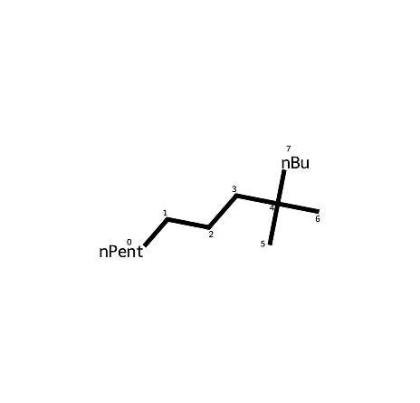 [CH2]CCCCCCCC(C)(C)CCCC